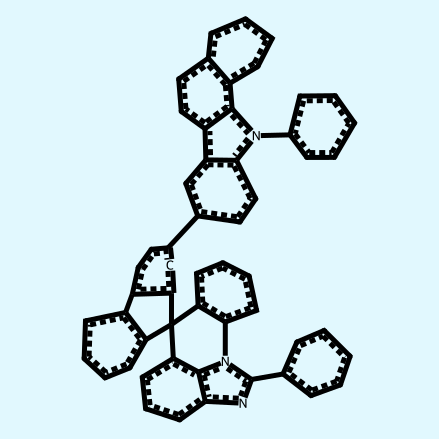 c1ccc(-c2nc3cccc4c3n2-c2ccccc2C42c3ccccc3-c3ccc(-c4ccc5c(c4)c4ccc6ccccc6c4n5-c4ccccc4)cc32)cc1